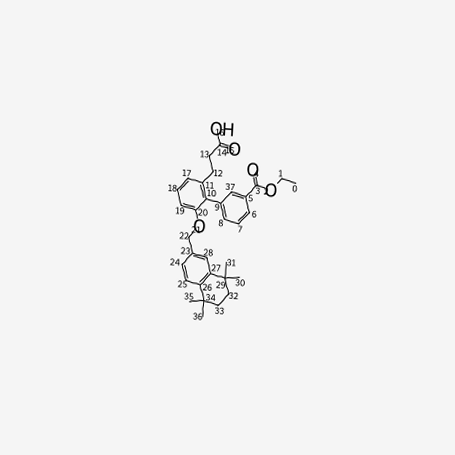 CCOC(=O)c1cccc(-c2c(CCC(=O)O)cccc2OCc2ccc3c(c2)C(C)(C)CCC3(C)C)c1